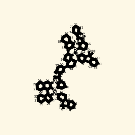 CC1(C)c2ccccc2-c2ccc(N3B4c5c(cc6ccccc6c5-c5c3ccc3ccccc53)-n3c5sc6ccc(-c7cccc8c9c(ccc78)-c7cc8ccccc8c8c7B(c7cccc%10c%11sc%12ccccc%12c%11n-8c7%10)N9c7ccc8c(c7)C(C)(C)c7ccccc7-8)cc6c5c5cccc4c53)cc21